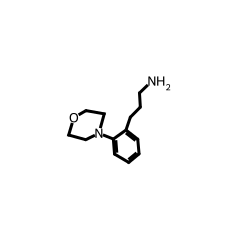 NCCCc1ccccc1N1CCOCC1